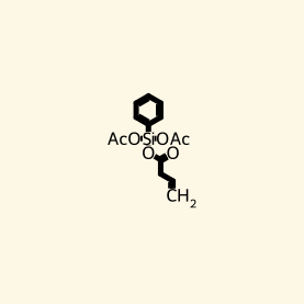 C=CCC(=O)O[Si](OC(C)=O)(OC(C)=O)c1ccccc1